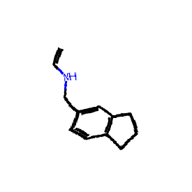 C=CNCc1ccc2c(c1)CCC2